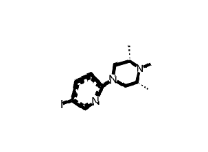 C[C@@H]1CN(c2ccc(I)cn2)C[C@H](C)N1C